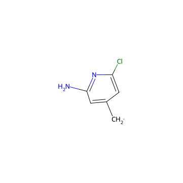 [CH2]c1cc(N)nc(Cl)c1